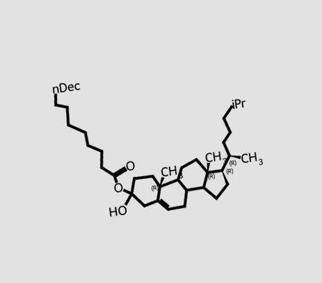 CCCCCCCCCCCCCCCCCC(=O)OC1(O)CC[C@@]2(C)C(=CCC3C2CC[C@@]2(C)C3CC[C@@H]2[C@H](C)CCCC(C)C)C1